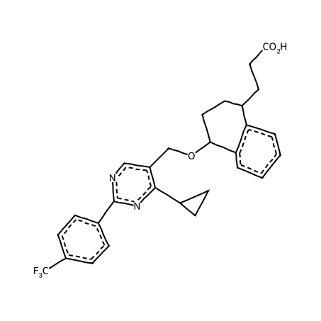 O=C(O)CCC1CCC(OCc2cnc(-c3ccc(C(F)(F)F)cc3)nc2C2CC2)c2ccccc21